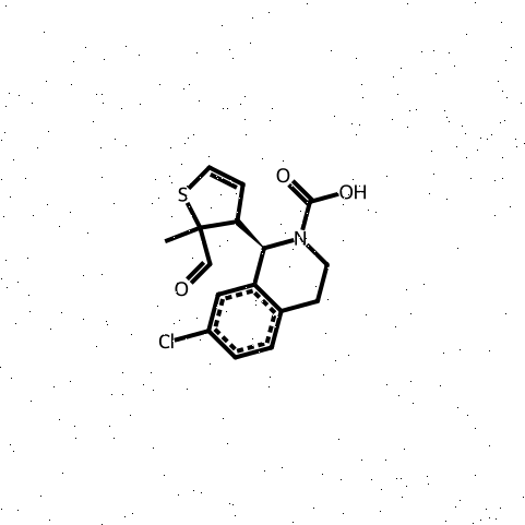 CC1(C=O)SC=CC1[C@@H]1c2cc(Cl)ccc2CCN1C(=O)O